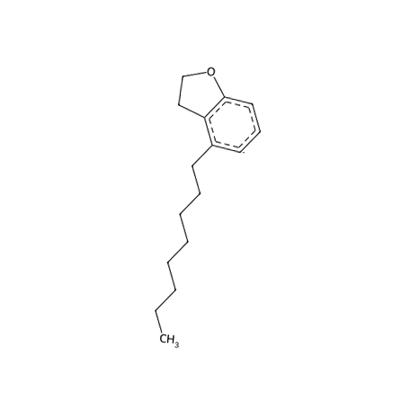 CCCCCCCCc1[c]ccc2c1CCO2